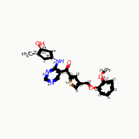 [CH2][C@@H]1C[C@@H](Nc2ncncc2C(=O)c2cc(COc3ccccc3OC(C)C)cs2)C[C@@H]1O